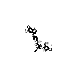 CCOc1cn(-c2ncc(Cl)cc2CN)nc1C(=O)Nc1ccc(Oc2ccnc3cc(OC)c(OC)cc23)cn1